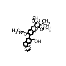 COCOc1cc(C[C@@H]2N=C(OC)[C@@H](C(C)C)N=C2OC)c(F)cc1-c1cc2c(cc1CO)C1(CC2)SC=CS1